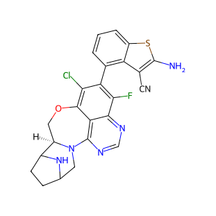 N#Cc1c(N)sc2cccc(-c3c(Cl)c4c5c(ncnc5c3F)N3CC5CCC(N5)[C@H]3CO4)c12